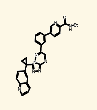 CCNC(=O)c1ccc(-c2cccc(-c3cnc4nnc(C5(c6ccc7ncccc7c6)CC5)n4n3)c2)cn1